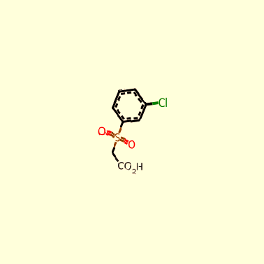 O=C(O)CS(=O)(=O)c1cccc(Cl)c1